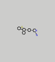 N#Cc1cc(-c2ccc(-c3cc4sc5ccccc5c4c4ccccc34)cc2)ccn1